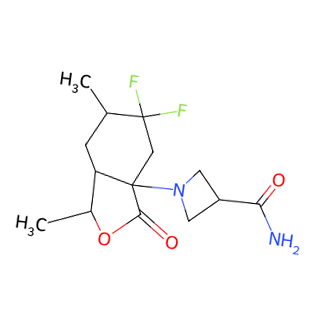 CC1OC(=O)C2(N3CC(C(N)=O)C3)CC(F)(F)C(C)CC12